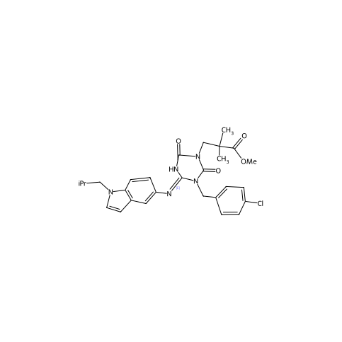 COC(=O)C(C)(C)Cn1c(=O)[nH]/c(=N\c2ccc3c(ccn3CC(C)C)c2)n(Cc2ccc(Cl)cc2)c1=O